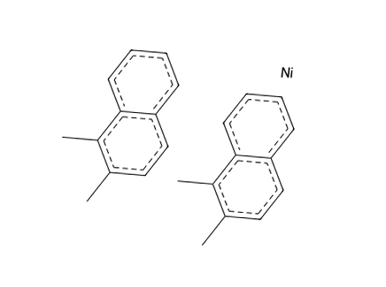 Cc1ccc2ccccc2c1C.Cc1ccc2ccccc2c1C.[Ni]